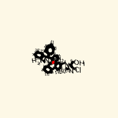 CCCCc1nc(Cl)c(CO)n1Cc1ccc(-c2ccccc2/C(=N/N)N(N)C(c2ccccc2)(c2ccccc2)c2ccccc2)cc1